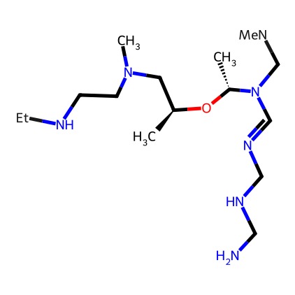 CCNCCN(C)C[C@H](C)O[C@H](C)N(/C=N/CNCN)CNC